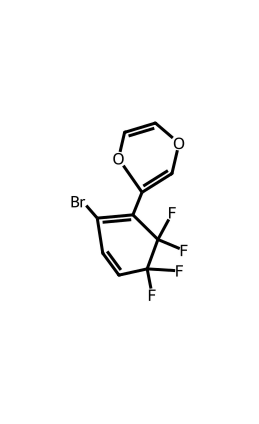 FC1(F)C=CC(Br)=C(C2=COC=CO2)C1(F)F